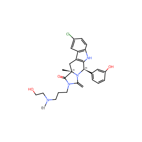 C=C1N(CCCN(CC)CCO)C(=O)[C@]2(C)Cc3c([nH]c4ccc(Cl)cc34)[C@@H](c3cccc(O)c3)N12